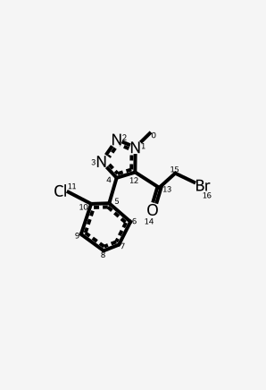 Cn1nnc(-c2ccccc2Cl)c1C(=O)CBr